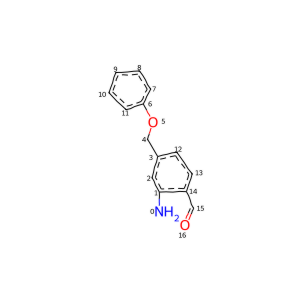 Nc1cc(COc2ccccc2)ccc1C=O